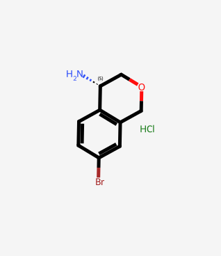 Cl.N[C@@H]1COCc2cc(Br)ccc21